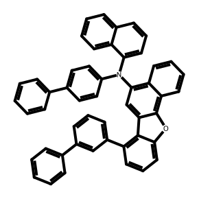 c1ccc(-c2ccc(N(c3cccc4ccccc34)c3cc4c(oc5cccc(-c6cccc(-c7ccccc7)c6)c54)c4ccccc34)cc2)cc1